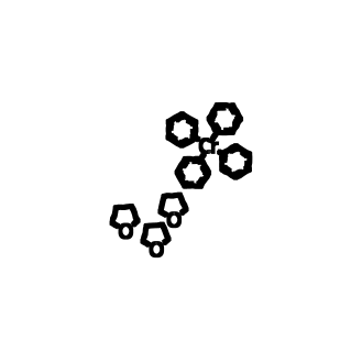 C1CCOC1.C1CCOC1.C1CCOC1.c1cc[c]([Cr]([c]2ccccc2)([c]2ccccc2)[c]2ccccc2)cc1